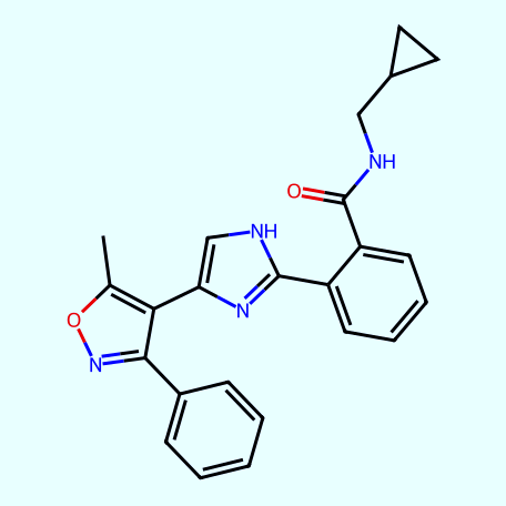 Cc1onc(-c2ccccc2)c1-c1c[nH]c(-c2ccccc2C(=O)NCC2CC2)n1